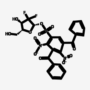 O=C(c1ccccc1)c1cc(S(=O)(=O)O[C@@H]2O[C@H](CO)[C@@H](O)C2(F)F)c([N+](=O)[O-])c(C(=O)c2ccccc2)c1[N+](=O)[O-]